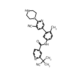 Cc1ccc(NC(=O)c2ccnc(C(C)(C)C#N)c2)cc1-c1cnc(N2CCNCC2)c(C#N)c1